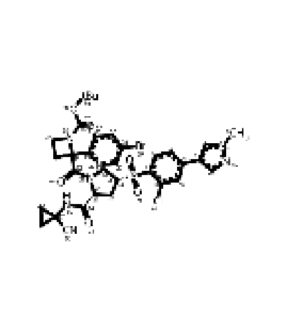 Cn1cc(-c2ccc(S(=O)(=O)[C@@H]3C[C@H](C(=O)NC4(C#N)CC4)N(C(=O)C4(c5ncc(Br)cc5F)CCN4C(=O)OC(C)(C)C)C3)c(Cl)c2)cn1